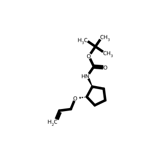 C=CCO[C@H]1CCC[C@@H]1NC(=O)OC(C)(C)C